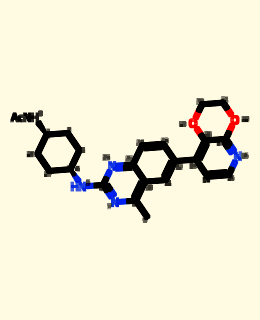 CC(=O)N[C@H]1CC[C@@H](Nc2nc(C)c3cc(-c4ccnc5c4OCCO5)ccc3n2)CC1